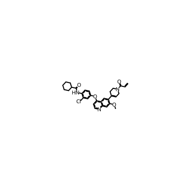 C=CC(=O)N1CC=C(c2cc3c(Oc4ccc(NC(=O)C5CCCCC5)c(Cl)c4)ccnc3cc2OC)CC1